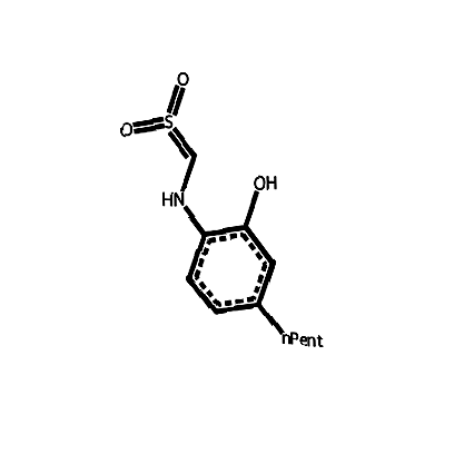 CCCCCc1ccc(NC=S(=O)=O)c(O)c1